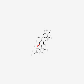 N#C/C(c1cc(C(F)(F)F)c(C#N)c(C(F)(F)F)c1)=c1\c(F)c(C#N)/c(=C(/C#N)c2c(C(F)(F)F)nc(C(F)(F)F)nc2C(F)(F)F)c(F)c1C#N